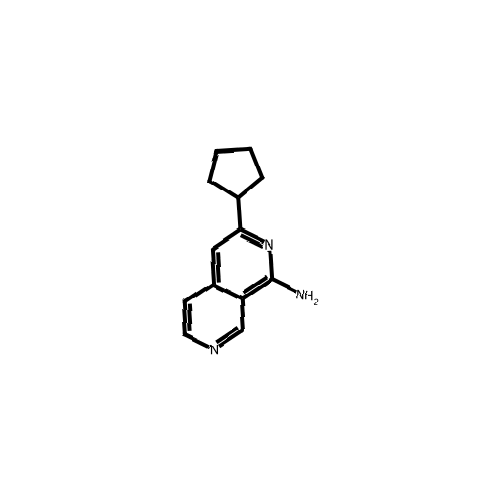 Nc1nc(C2CCCC2)cc2ccncc12